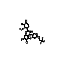 C[C@@H]1C(=O)NCCN1C(=O)N[C@H](c1ccc(OCC(F)(F)F)nc1)c1ccc(F)c(Cl)c1F